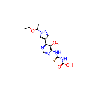 CCOC(C)n1cc(-c2ncnc(NC(=S)NC(=O)O)c2OC)cn1